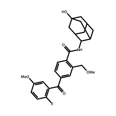 COCc1cc(C(=O)c2cc(OC)ccc2F)ccc1C(=O)NC1C2CC3CC1CC(O)(C3)C2